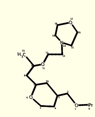 CC(C)OCC1CCOC(CC(C)OCCN2CCOCC2)C1